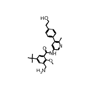 COc1c(CN)cc(C(C)(C)C)cc1C(=O)Nc1cnc(C)c(-c2ccc(CCO)cc2)c1